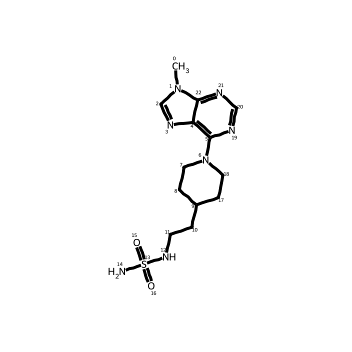 Cn1cnc2c(N3CCC(CCNS(N)(=O)=O)CC3)ncnc21